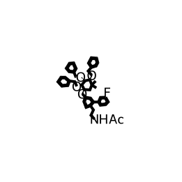 CC(=O)NCCc1ccc(O[C@@H]2CC(C)(C)[C@H](OCc3ccccc3)[C@@H](OCc3ccccc3)[C@H]2OCc2ccccc2)cc1-c1cccc(F)c1